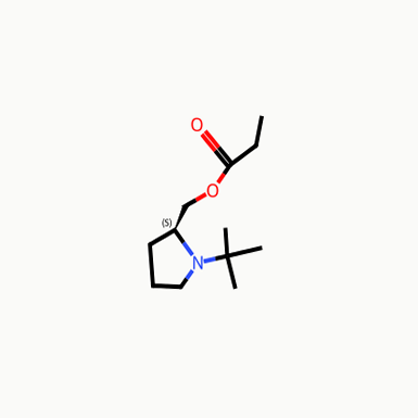 CCC(=O)OC[C@@H]1CCCN1C(C)(C)C